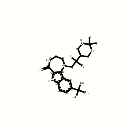 CC1(C)OCC(C(F)(F)CN2CCNC(=O)c3oc4ccc(C(F)(F)F)cc4c32)CO1